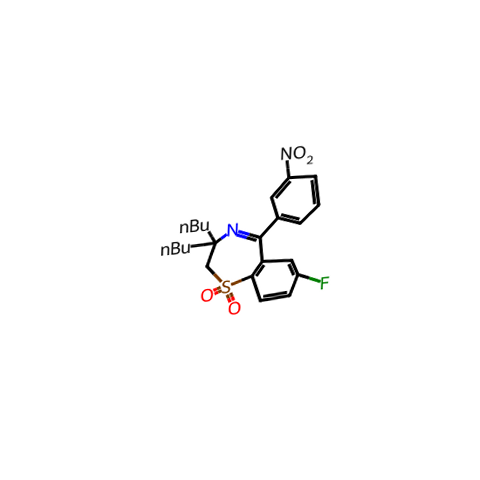 CCCCC1(CCCC)CS(=O)(=O)c2ccc(F)cc2C(c2cccc([N+](=O)[O-])c2)=N1